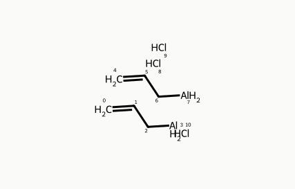 C=C[CH2][AlH2].C=C[CH2][AlH2].Cl.Cl.Cl